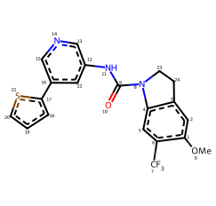 COc1cc2c(cc1C(F)(F)F)N(C(=O)Nc1cncc(-c3cccs3)c1)CC2